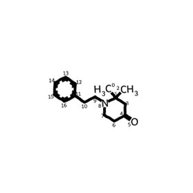 CC1(C)CC(=O)CCN1CCc1ccccc1